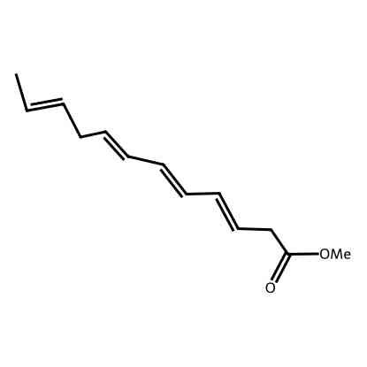 CC=CCC=CC=CC=CCC(=O)OC